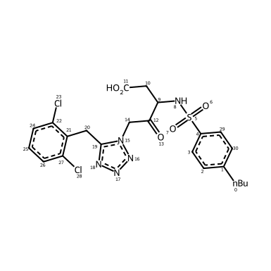 CCCCc1ccc(S(=O)(=O)NC(CC(=O)O)C(=O)Cn2nnnc2Cc2c(Cl)cccc2Cl)cc1